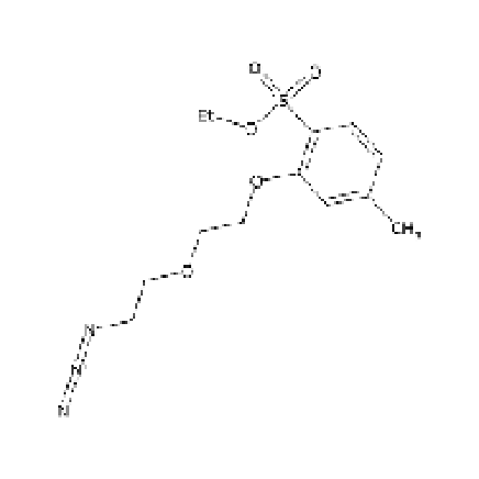 CCOS(=O)(=O)c1ccc(C)cc1OCCOCCN=[N+]=[N-]